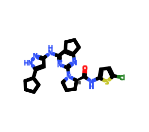 O=C(Nc1ccc(Cl)s1)[C@H]1CCCN1c1nc2c(c(Nc3cc(C4CCCC4)[nH]n3)n1)CCC2